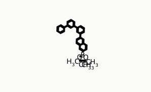 CC1(C)OB(c2ccc3cc(-c4cccc(-c5cccc(-c6ccccc6)c5)c4)ccc3c2)OC1(C)C